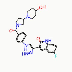 N=N/C(=C\Nc1ccc(C(=O)N2CCC(N3CCC(O)CC3)C2)cc1)c1cc2cc(F)ccc2[nH]c1=O